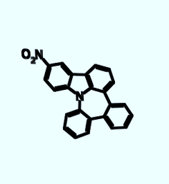 O=[N+]([O-])c1ccc2c(c1)c1cccc3c1n2-c1ccccc1-c1ccccc1-3